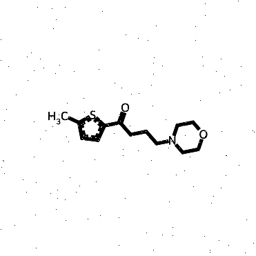 Cc1ccc(C(=O)CCCN2CCOCC2)s1